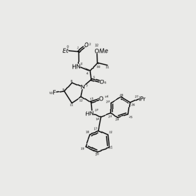 CCC(=O)NC(C(=O)N1CC(F)CC1C(=O)NC(c1ccccc1)c1ccc(C(C)C)cc1)C(C)OC